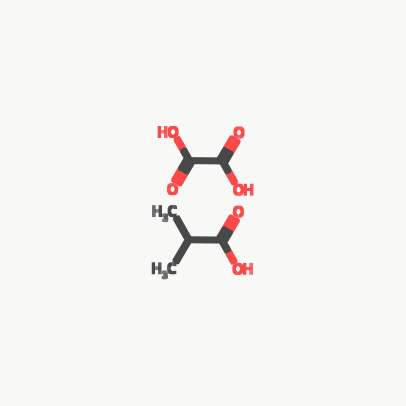 CC(C)C(=O)O.O=C(O)C(=O)O